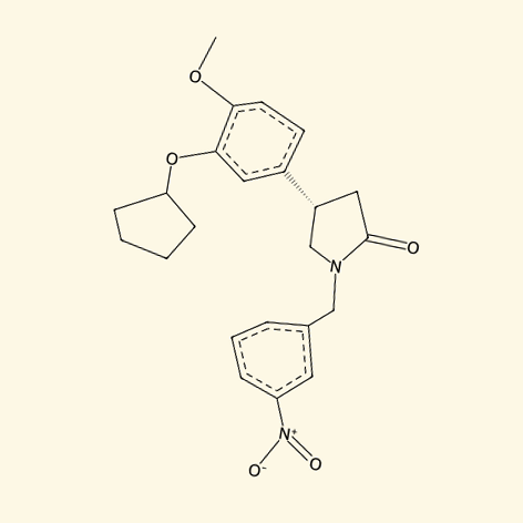 COc1ccc([C@@H]2CC(=O)N(Cc3cccc([N+](=O)[O-])c3)C2)cc1OC1CCCC1